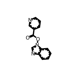 O=C(On1cnc2ccccc21)c1cccnc1